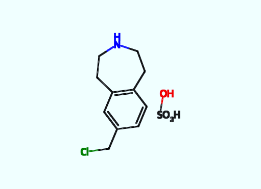 ClCc1ccc2c(c1)CCNCC2.O=S(=O)(O)O